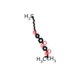 C=CCCCCCCCCOc1ccc(-c2ccc(C(=O)Oc3ccc(C(=O)OCC(C)CC)cc3)cc2)cc1